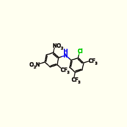 O=[N+]([O-])c1cc([N+](=O)[O-])c(Nc2cc(C(F)(F)F)cc(C(F)(F)F)c2Cl)c(C(F)(F)F)c1